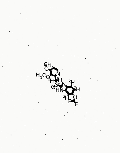 [2H]c1c(OC(F)F)c([2H])c2[nH]c([S+]([O-])C([2H])([2H])c3nccc(OC)c3OC)nc2c1[2H]